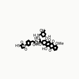 COc1cccc2c1C(=O)c1c(O)c3c(c(O)c1C2=O)C[C@@](O)(/C(CO)=N/NC(=O)Cc1ccc(N2C(=O)C=C(S)C2=O)cc1)C[C@@H]3OC1CC(C)C(O)C(N)C1